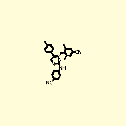 Cc1ccc(-c2cnc(Nc3ccc(C#N)cc3)nc2Oc2c(C)cc(C#N)cc2C)cc1